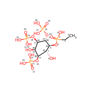 CCP(=O)(O)O[C@H]1[C@H](O)[C@@H](OP(=O)(O)O)[C@@H](O)[C@@H](OP(=O)(O)O)[C@@H]1OP(=O)(O)O